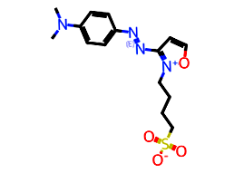 CN(C)c1ccc(/N=N/c2cco[n+]2CCCCS(=O)(=O)[O-])cc1